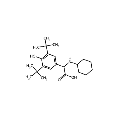 CC(C)(C)c1cc(C(NC2CCCCC2)C(=O)O)cc(C(C)(C)C)c1O